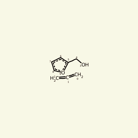 C=C=C.OCc1ccco1